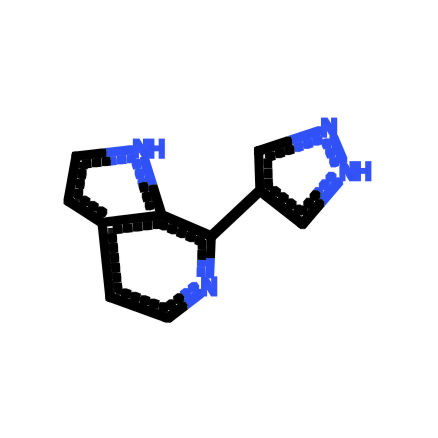 c1cc2cc[nH]c2c(-c2cn[nH]c2)n1